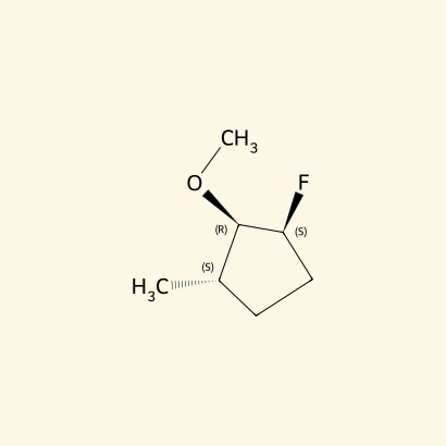 CO[C@@H]1[C@@H](C)CC[C@@H]1F